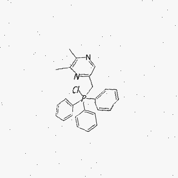 Cc1ncc(CP(Cl)(c2ccccc2)(c2ccccc2)c2ccccc2)nc1C